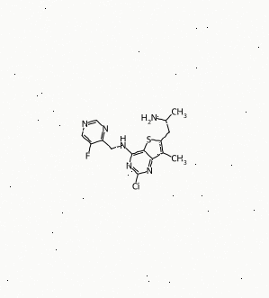 Cc1c(CC(C)N)sc2c(NCc3ncncc3F)nc(Cl)nc12